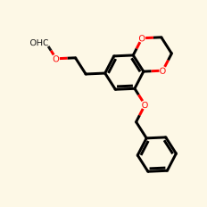 O=COCCc1cc2c(c(OCc3ccccc3)c1)OCCO2